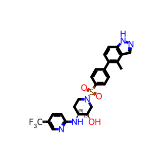 Cc1c(-c2ccc(S(=O)(=O)N3CC[C@@H](Nc4ccc(C(F)(F)F)cn4)[C@@H](O)C3)cc2)ccc2[nH]ncc12